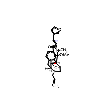 C=CCN1CC[C@]23CC(N(C)C(=O)/C=C/c4ccoc4)CC[C@@]2(O)[C@H]1Cc1ccc(O)c(OC)c13